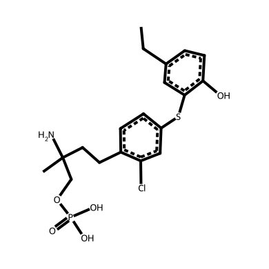 CCc1ccc(O)c(Sc2ccc(CCC(C)(N)COP(=O)(O)O)c(Cl)c2)c1